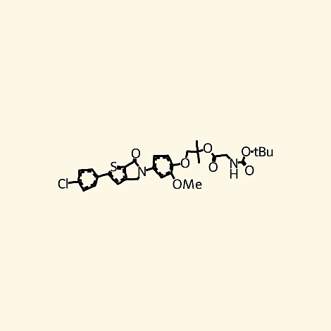 COc1cc(N2Cc3cc(-c4ccc(Cl)cc4)sc3C2=O)ccc1OCC(C)(C)OC(=O)CNC(=O)OC(C)(C)C